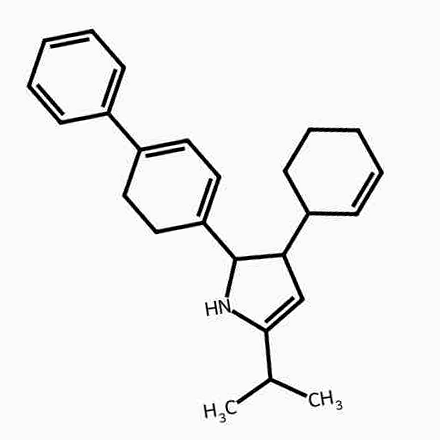 CC(C)C1=CC(C2C=CCCC2)C(C2=CC=C(c3ccccc3)CC2)N1